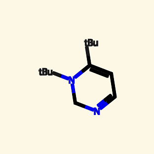 CC(C)(C)C1=CC=NCN1C(C)(C)C